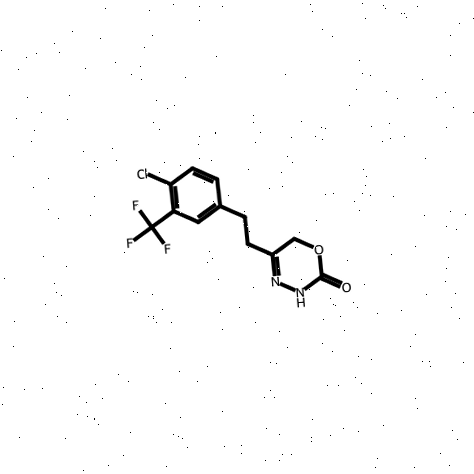 O=C1NN=C(CCc2ccc(Cl)c(C(F)(F)F)c2)CO1